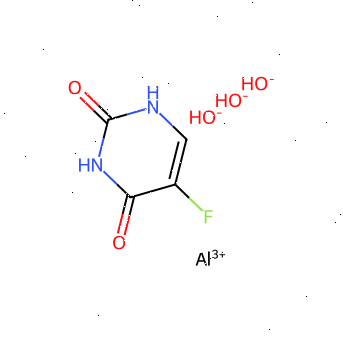 O=c1[nH]cc(F)c(=O)[nH]1.[Al+3].[OH-].[OH-].[OH-]